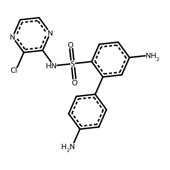 Nc1ccc(-c2cc(N)ccc2S(=O)(=O)Nc2nccnc2Cl)cc1